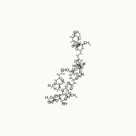 C=C(Br)C[C@@H](CC[C@@]12C[C@H]3OC4[C@@H](O[C@H]5CCC(CC(=O)O[C@H]6C(C[C@H]7OC(CCC=O)C[C@@H](C)C7=C)OC7C[C@@H](O[Si](C)(C)C(C)(C)C)[C@@H](CCC)O[C@H]7[C@@H]6C)O[C@@H]5[C@@H]4O1)[C@H]3O2)OS(=O)(=O)c1ccc(C)cc1